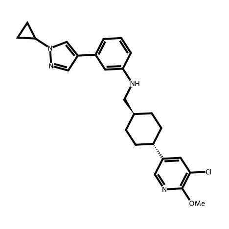 COc1ncc([C@H]2CC[C@H](CNc3cccc(-c4cnn(C5CC5)c4)c3)CC2)cc1Cl